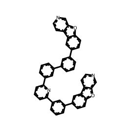 c1cc(-c2cccc(-c3cccc(-c4cccc(-c5ccc6oc7cnccc7c6c5)c4)n3)c2)cc(-c2ccc3oc4cnccc4c3c2)c1